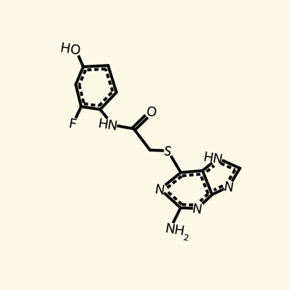 Nc1nc(SCC(=O)Nc2ccc(O)cc2F)c2[nH]cnc2n1